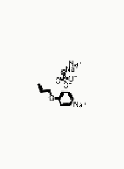 C=CCOc1ccccc1.O=P([O-])([O-])[O-].[Na+].[Na+].[Na+]